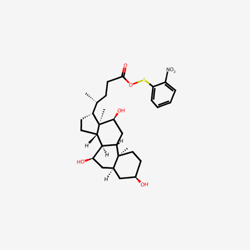 C[C@H](CCC(=O)OSc1ccccc1[N+](=O)[O-])[C@H]1CC[C@H]2[C@@H]3[C@H](O)C[C@@H]4C[C@H](O)CC[C@]4(C)[C@H]3C[C@H](O)[C@]12C